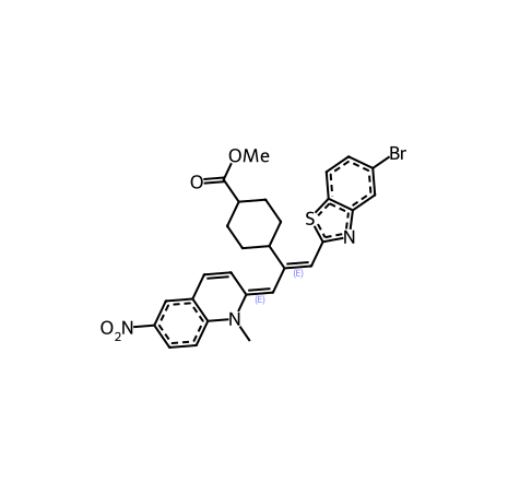 COC(=O)C1CCC(C(=C\c2nc3cc(Br)ccc3s2)/C=C2\C=Cc3cc([N+](=O)[O-])ccc3N2C)CC1